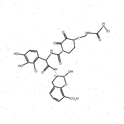 CCNC(=O)NCCN1CCN(C(=O)NC(C(=O)N[C@H]2Cc3cccc(C(=O)O)c3OB2O)c2ccc(O)c(O)c2Cl)C(=O)C1=O